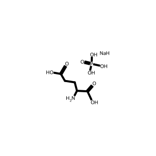 NC(CCC(=O)O)C(=O)O.O=P(O)(O)O.[NaH]